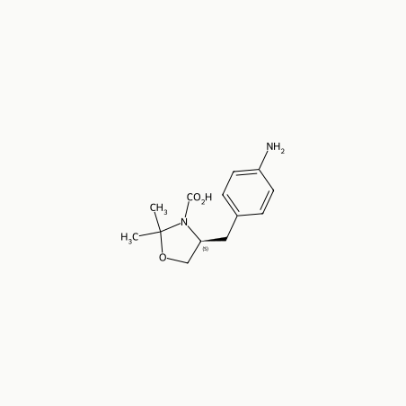 CC1(C)OC[C@H](Cc2ccc(N)cc2)N1C(=O)O